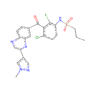 CCCS(=O)(=O)Nc1ccc(Cl)c(C(=O)c2ccc3ncc(-c4cnn(C)c4)nc3c2)c1F